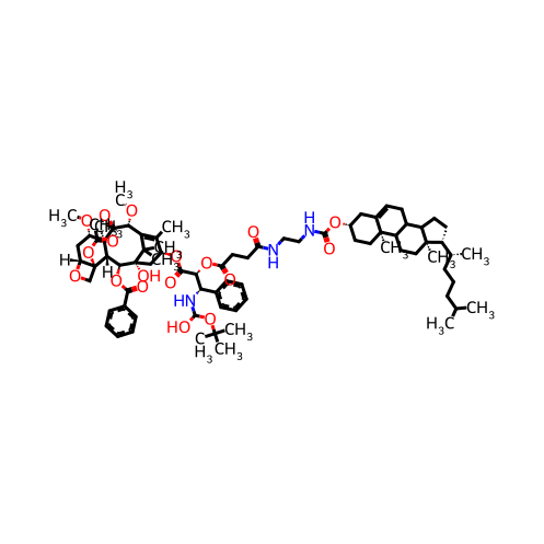 CO[C@H]1C(=O)[C@]2(C)[C@@H](OC)C[C@H]3OC[C@@]3(OC(C)=O)[C@H]2[C@H](OC(=O)c2ccccc2)[C@]2(O)C[C@H](OC(=O)[C@H](OC(=O)CCC(=O)NCCNC(=O)O[C@H]3CC[C@@]4(C)C(=CCC5C4CC[C@@]4(C)C5CC[C@@H]4[C@H](C)CCCC(C)C)C3)[C@@H](NC(O)OC(C)(C)C)c3ccccc3)C(C)=C1C2(C)C